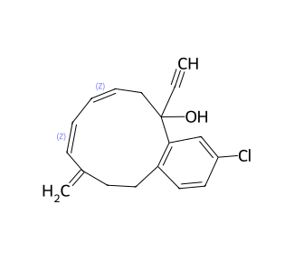 C#CC1(O)C/C=C\C=C/C(=C)CCc2ccc(Cl)cc21